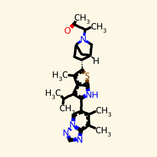 CC(=O)C(C)N1C[C@@H]2CC1C[C@H]2c1sc2[nH]c(-c3cn4ncnc4c(C)c3C)c(C(C)C)c2c1C